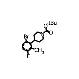 Cc1c(F)ccc(Br)c1C1CCN(C(=O)OC(C)(C)C)CC1